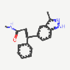 CNC(=O)C=C(c1ccccc1)c1ccc2[nH]nc(C)c2c1